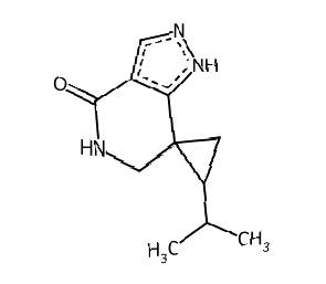 CC(C)C1CC12CNC(=O)c1cn[nH]c12